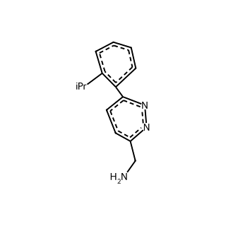 CC(C)c1ccccc1-c1ccc(CN)nn1